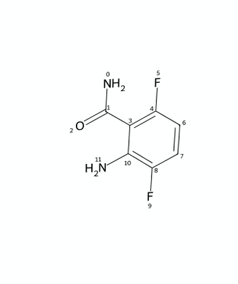 NC(=O)c1c(F)ccc(F)c1N